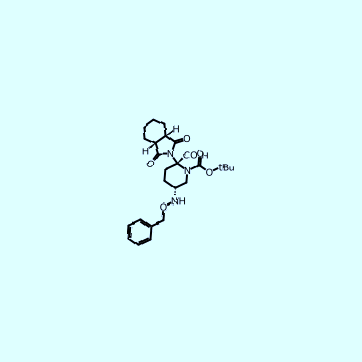 CC(C)(C)OC(=O)N1C[C@H](NOCc2ccccc2)CC[C@]1(C(=O)O)N1C(=O)[C@H]2CCCC[C@H]2C1=O